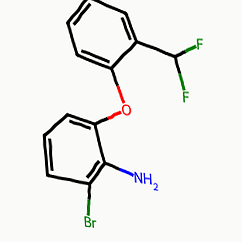 Nc1c(Br)cccc1Oc1ccccc1C(F)F